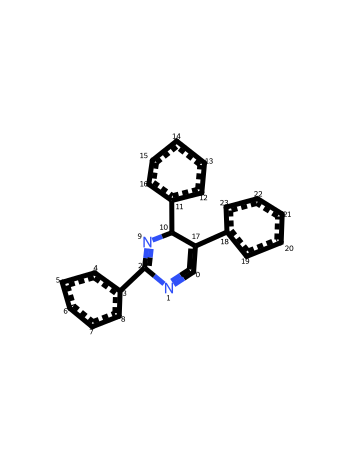 C1=NC(c2ccccc2)=NC(c2ccccc2)C=1c1ccccc1